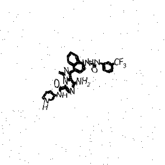 Cc1nc(-c2ccc(NC(=O)Nc3cccc(C(F)(F)F)c3)c3ccccc23)c2c(N)ncc(C(=O)NC3CCCNC3)n12